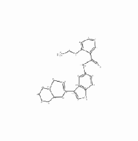 CCCc1ccccc1C(=O)Nc1ccc2occ(C3=CCN4CCCCC4C3)c2c1